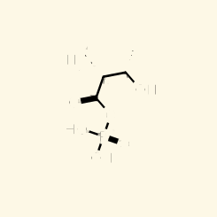 C[C@H](O)[C@@H](N)C(=O)OP(=O)(O)O